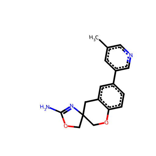 Cc1cncc(-c2ccc3c(c2)CC2(COC(N)=N2)CO3)c1